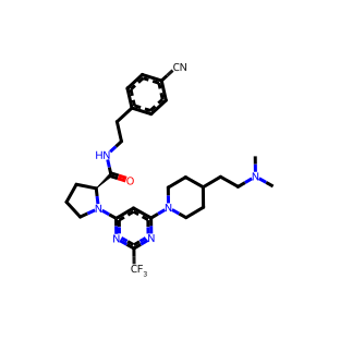 CN(C)CCC1CCN(c2cc(N3CCC[C@H]3C(=O)NCCc3ccc(C#N)cc3)nc(C(F)(F)F)n2)CC1